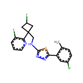 Cc1ccc(Br)cc1-c1nnc(NCC2(c3ncccc3F)CC(F)C2)s1